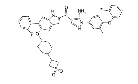 Cc1cc(-n2ncc(C(=O)c3cc4cc(OC5CCN(C6CS(=O)(=O)C6)CC5)c(-c5ccccc5F)cc4[nH]3)c2N)ccc1Oc1ccccc1F